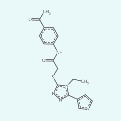 CCn1c(SCC(=O)Nc2ccc(C(C)=O)cc2)nnc1-c1ccsc1